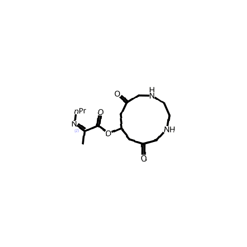 CCC/N=C(/C)C(=O)OC1CC(=O)CNCCNCC(=O)C1